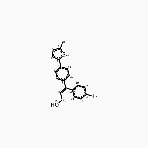 Cc1ccc(-c2ccc(C(=CCO)c3ccc(I)cc3)cc2)s1